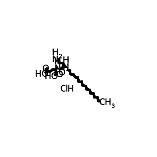 CCCCCCCCCCCCCCCCCCNC(CCCN)C(=O)NC(CCC(=O)O)C(=O)O.Cl